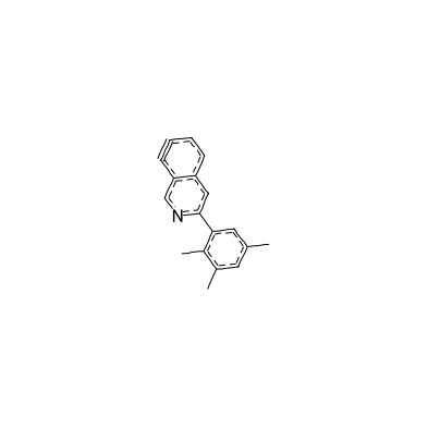 Cc1cc(C)c(C)c(-c2cc3ccc#cc3cn2)c1